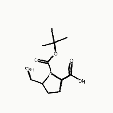 CC(C)(C)OC(=O)N1C(CO)CCC1C(=O)O